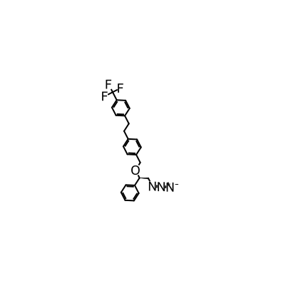 [N-]=[N+]=NC[C@H](OCc1ccc(CCc2ccc(C(F)(F)F)cc2)cc1)c1ccccc1